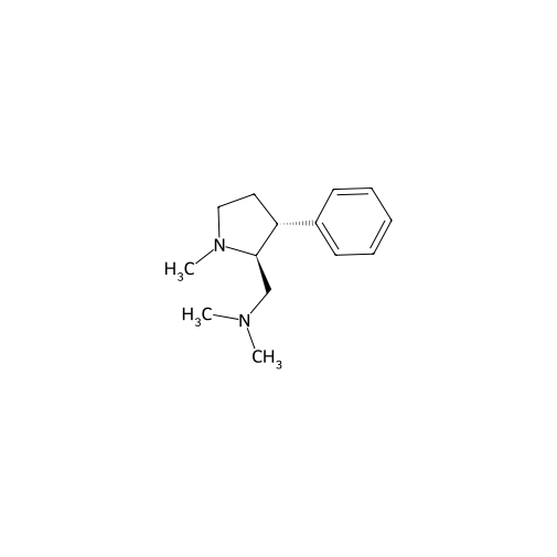 CN(C)C[C@@H]1[C@@H](c2ccccc2)CCN1C